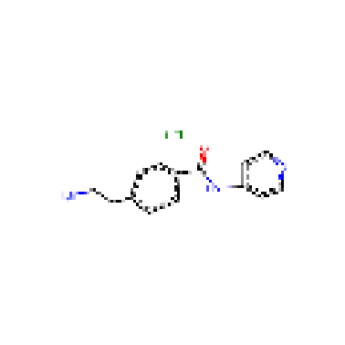 Cl.NCCc1ccc(C(=O)Nc2ccncc2)cc1